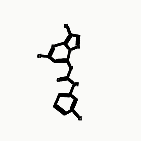 O=C(Nc1cccc(Cl)c1)Oc1cc(Cl)nc2c(Cl)cnn12